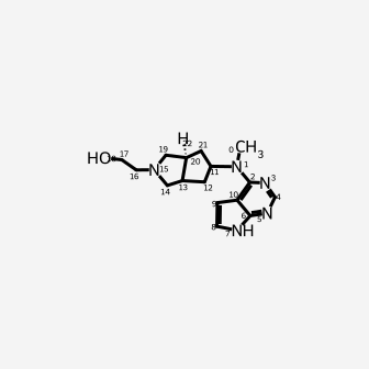 CN(c1ncnc2[nH]ccc12)C1CC2CN(CCO)C[C@H]2C1